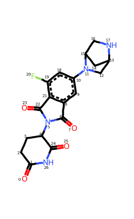 O=C1CCC(N2C(=O)c3cc(N4CC5CC4CN5)cc(F)c3C2=O)C(=O)N1